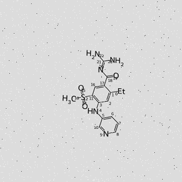 CCc1cc(Nc2cccnc2)c(S(C)(=O)=O)cc1C(=O)N=C(N)N